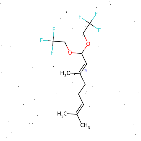 CC(C)=CCC/C(C)=C/C(OCC(F)(F)F)OCC(F)(F)F